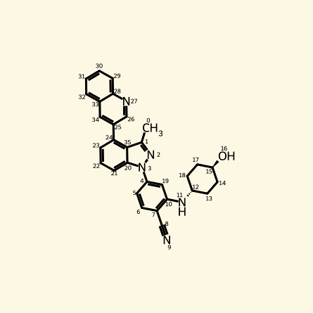 Cc1nn(-c2ccc(C#N)c(N[C@H]3CC[C@H](O)CC3)c2)c2cccc(-c3cnc4ccccc4c3)c12